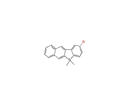 C[Si]1(C)c2ccc(Br)cc2-c2cc3ccccc3cc21